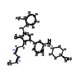 CC/C=C\C=C/Cn1c(-c2ccnc(N[C@H]3CC[C@H](O)CC3)c2)cn(Cc2ccccc2F)c1=O